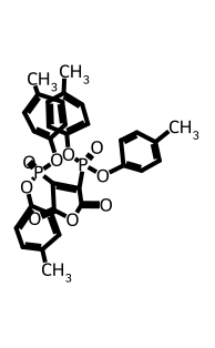 Cc1ccc(OP(=O)(Oc2ccc(C)cc2)C2=C(P(=O)(Oc3ccc(C)cc3)Oc3ccc(C)cc3)C(=O)OC2=O)cc1